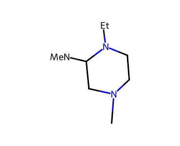 CCN1CCN(C)CC1NC